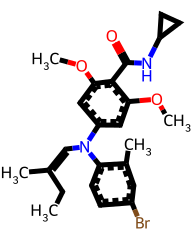 CC/C(C)=C\N(c1cc(OC)c(C(=O)NC2CC2)c(OC)c1)c1ccc(Br)cc1C